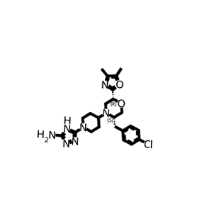 Cc1nc([C@H]2CN(C3CCN(c4nnc(N)[nH]4)CC3)[C@@H](Cc3ccc(Cl)cc3)CO2)oc1C